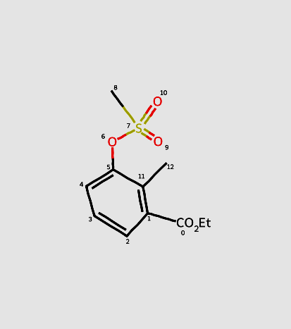 CCOC(=O)c1cccc(OS(C)(=O)=O)c1C